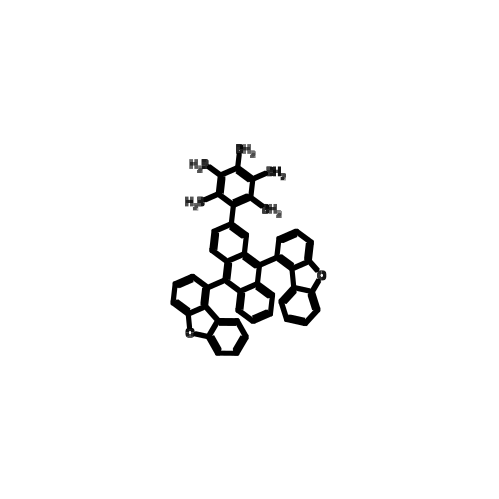 Bc1c(B)c(B)c(-c2ccc3c(-c4cccc5oc6ccccc6c45)c4ccccc4c(-c4cccc5oc6ccccc6c45)c3c2)c(B)c1B